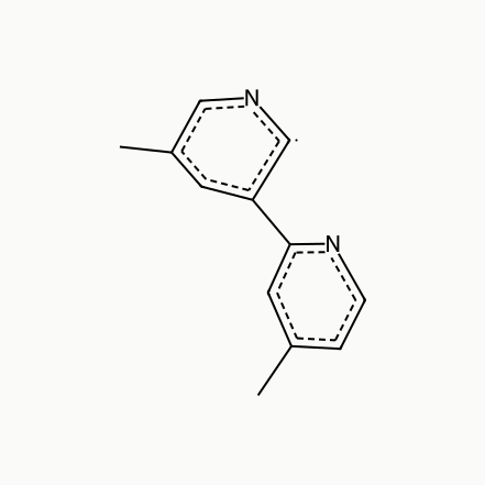 Cc1cn[c]c(-c2cc(C)ccn2)c1